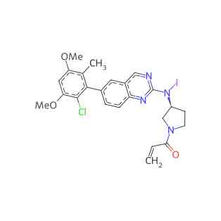 C=CC(=O)N1CC[C@H](N(I)c2ncc3cc(-c4c(C)c(OC)cc(OC)c4Cl)ccc3n2)C1